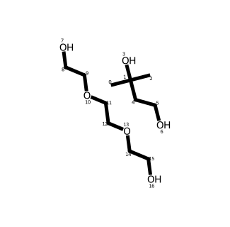 CC(C)(O)CCO.OCCOCCOCCO